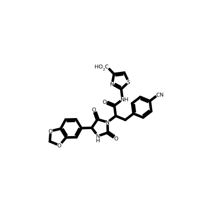 N#Cc1ccc(CC(C(=O)Nc2nc(C(=O)O)cs2)N2C(=O)NC(c3ccc4c(c3)OCO4)C2=O)cc1